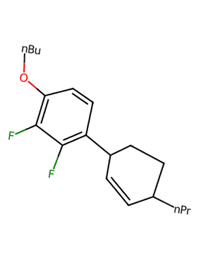 CCCCOc1ccc(C2C=CC(CCC)CC2)c(F)c1F